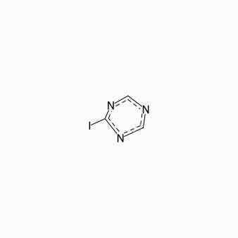 Ic1ncncn1